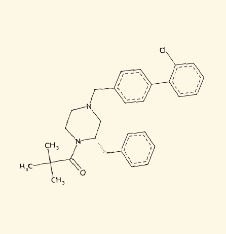 CC(C)(C)C(=O)N1CCN(Cc2ccc(-c3ccccc3Cl)cc2)C[C@@H]1Cc1ccccc1